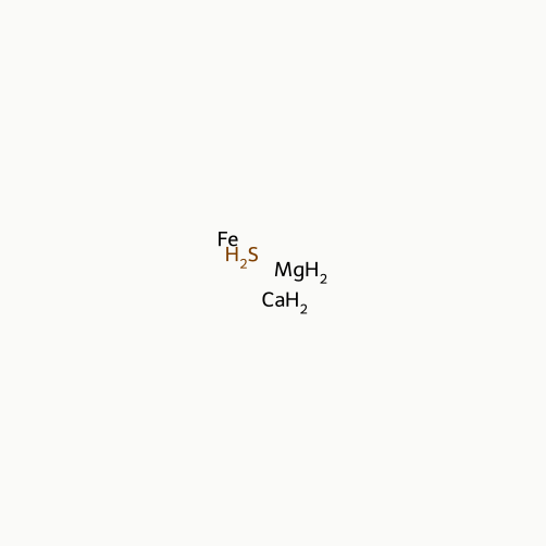 S.[CaH2].[Fe].[MgH2]